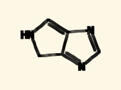 C1=NC2=CNCC2=N1